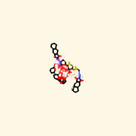 O=C(OCc1ccccc1)C1(C(=O)OCc2ccccc2)C(N=c2c(=O)c3cc4ccccc4cc3c2=O)=Cc2sc3c(c21)C(C(=O)OCc1ccccc1)(C(=O)OCc1ccccc1)c1c-3sc2cc(N=c3c(=O)c4cc5ccccc5cc4c3=O)sc12